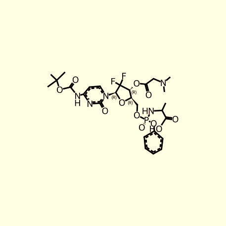 CC(NP(=O)(OC[C@H]1O[C@@H](n2ccc(NC(=O)OC(C)(C)C)nc2=O)C(F)(F)[C@@H]1OC(=O)CN(C)C)Oc1ccccc1)C(=O)O